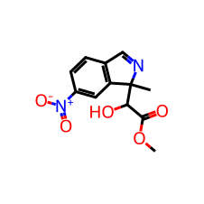 COC(=O)C(O)C1(C)N=Cc2ccc([N+](=O)[O-])cc21